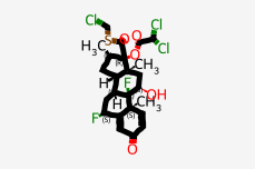 C[C@@H]1C[C@H]2[C@@H]3C[C@H](F)C4=CC(=O)C=C[C@]4(C)[C@@]3(F)[C@@H](O)C[C@]2(C)[C@@]1(OC(=O)C(Cl)Cl)C(=O)SCCl